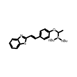 CCCCN(CCCC)C(C)Oc1ccc(/C=C/c2nc3ccccc3s2)cc1